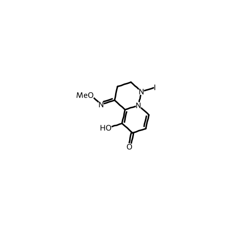 CO/N=C1\CCN(I)n2ccc(=O)c(O)c21